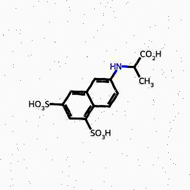 CC(Nc1ccc2c(S(=O)(=O)O)cc(S(=O)(=O)O)cc2c1)C(=O)O